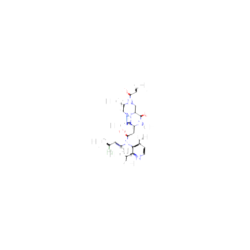 C=CC(=O)N1CC(C(=O)N(C)C(CC(=O)N(/C(C)=C/C(=C)Br)c2c(C)ccnc2C(C)C)[C@H](C)F)NC[C@H]1C